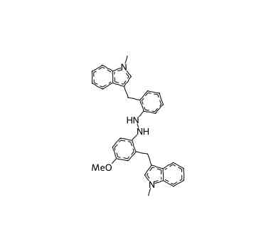 COc1ccc(NNc2ccccc2Cc2cn(C)c3ccccc23)c(Cc2cn(C)c3ccccc23)c1